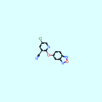 N#Cc1cc(Cl)cnc1Oc1ccc2nonc2c1